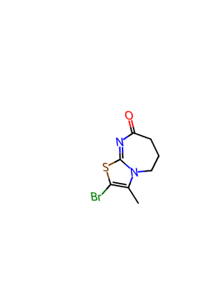 CC1=C(Br)SC2=NC(=O)CCCN21